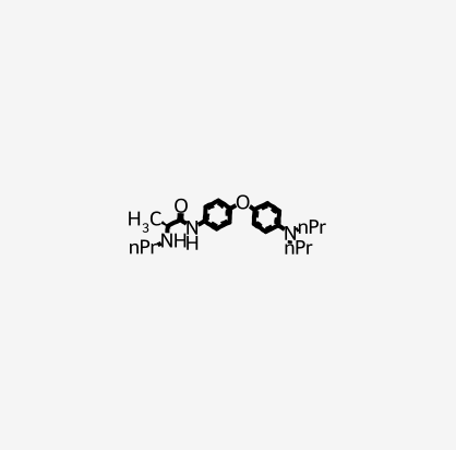 CCCN[C@@H](C)C(=O)Nc1ccc(Oc2ccc(N(CCC)CCC)cc2)cc1